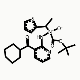 CC(c1cccs1)[N+]([O-])(Nc1ncccc1C(=O)C1CCCCC1)C(=O)OC(C)(C)C